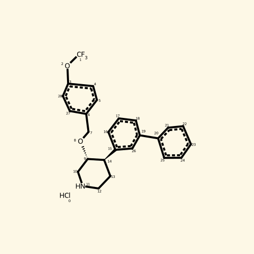 Cl.FC(F)(F)Oc1ccc(CO[C@H]2CNCC[C@@H]2c2cccc(-c3ccccc3)c2)cc1